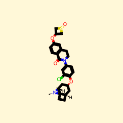 C[N@]1[C@@H]2C[C@@H](Oc3ccc(N4CCc5cc(OC6C[S+]([O-])C6)ccc5C4=O)cc3Cl)C[C@H]3CCC321